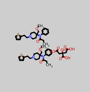 CCC(=O)N(c1ccccc1)C1(COC)CCN(CCc2cccs2)CC1.CCC(=O)N(c1ccccc1)C1(COC)CCN(CCc2cccs2)CC1.O=C(O)CC(O)(CC(=O)O)C(=O)O